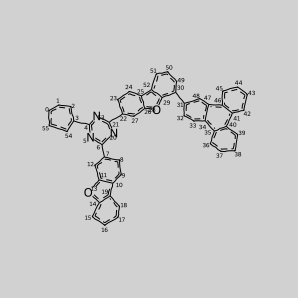 c1ccc(-c2nc(-c3ccc4c(c3)oc3ccccc34)nc(-c3ccc4c(c3)oc3c(-c5ccc6c7ccccc7c7ccccc7c6c5)cccc34)n2)cc1